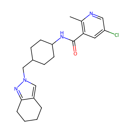 Cc1ncc(Cl)cc1C(=O)NC1CCC(Cn2cc3c(n2)CCCC3)CC1